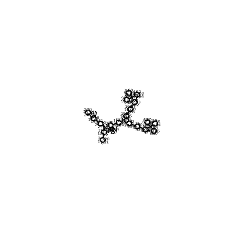 c1ccc(-c2ccc(N(c3ccc(-c4ccc5c(c4)oc4ccccc45)cc3)c3ccc(-c4ccc(-n5c6ccc(-c7ccc(-c8ccc9c(c8)C(c8ccccc8)(c8ccccc8)c8ccccc8-9)cc7)cc6c6cc(-c7ccc(-c8ccc9c(c8)C(c8ccccc8)(c8ccccc8)c8ccccc8-9)cc7)ccc65)cc4)c4nsnc34)cc2)cc1